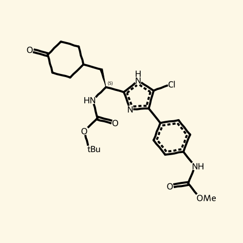 COC(=O)Nc1ccc(-c2nc([C@H](CC3CCC(=O)CC3)NC(=O)OC(C)(C)C)[nH]c2Cl)cc1